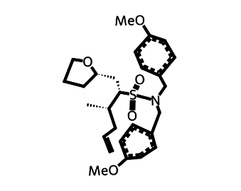 C=CC[C@H](C)[C@H](C[C@@H]1CCCO1)S(=O)(=O)N(Cc1ccc(OC)cc1)Cc1ccc(OC)cc1